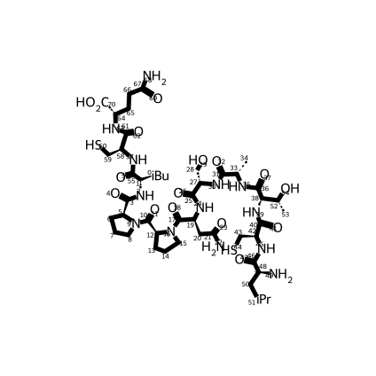 CC[C@H](C)[C@H](NC(=O)[C@@H]1CCCN1C(=O)[C@@H]1CCCN1C(=O)[C@H](CC(N)=O)NC(=O)[C@H](CO)NC(=O)[C@H](C)NC(=O)[C@@H](NC(=O)[C@H](CS)NC(=O)[C@@H](N)CC(C)C)[C@@H](C)O)C(=O)N[C@@H](CS)C(=O)N[C@@H](CCC(N)=O)C(=O)O